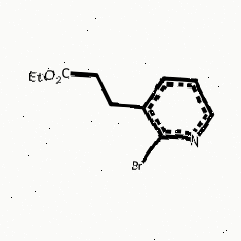 CCOC(=O)CCc1cccnc1Br